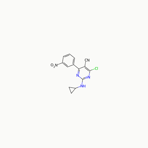 N#Cc1c(Cl)nc(NC2CC2)nc1-c1cccc([N+](=O)[O-])c1